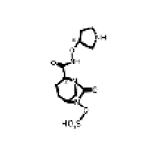 O=C(NO[C@H]1CCNC1)[C@@H]1CCC2CN1C(=O)N2OS(=O)(=O)O